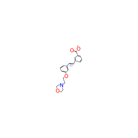 COC(=O)c1cccc(/C=C/c2cccc(OCCN3CCOCC3)c2)c1